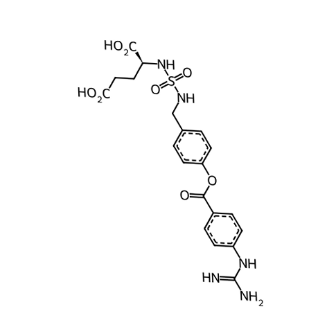 N=C(N)Nc1ccc(C(=O)Oc2ccc(CNS(=O)(=O)N[C@@H](CCC(=O)O)C(=O)O)cc2)cc1